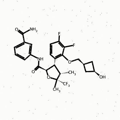 C[C@H]1[C@@H](c2ccc(F)c(F)c2OC[C@H]2C[C@@H](O)C2)[C@H](C(=O)Nc2cccc(C(N)=O)c2)O[C@@]1(C)C(F)(F)F